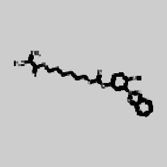 C=C(C)C(=O)OCCCCCCOC(=O)OC1=CCC(O)C(n2nc3ccccc3n2)=C1